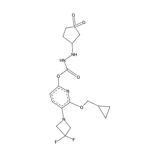 O=C(NNC1CCS(=O)(=O)C1)Oc1ccc(N2CC(F)(F)C2)c(OCC2CC2)n1